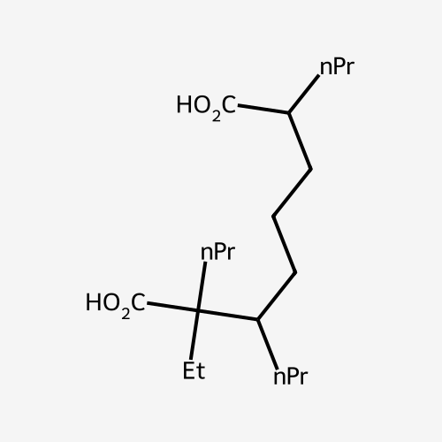 CCCC(CCCC(CCC)C(CC)(CCC)C(=O)O)C(=O)O